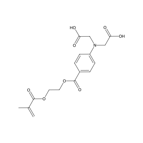 C=C(C)C(=O)OCCOC(=O)c1ccc(N(CC(=O)O)CC(=O)O)cc1